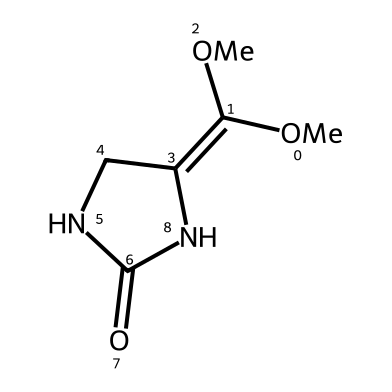 COC(OC)=C1CNC(=O)N1